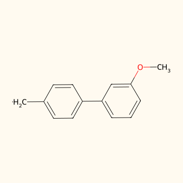 [CH2]c1ccc(-c2cccc(OC)c2)cc1